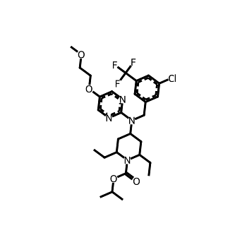 CCC1CC(N(Cc2cc(Cl)cc(C(F)(F)F)c2)c2ncc(OCCOC)cn2)CC(CC)N1C(=O)OC(C)C